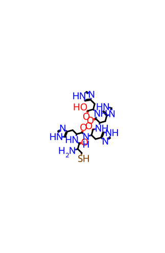 NC(CS)C(=O)NC(Cc1c[nH]cn1)C(=O)NC(Cc1c[nH]cn1)C(=O)NC(Cc1c[nH]cn1)C(=O)NC(Cc1c[nH]cn1)C(=O)O